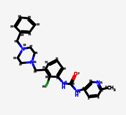 Cc1ccc(NC(=O)Nc2cccc(CN3CCN(Cc4ccccc4)CC3)c2F)cn1